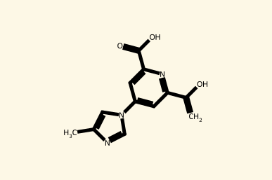 C=C(O)c1cc(-n2cnc(C)c2)cc(C(=O)O)n1